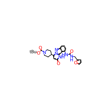 CC(C)(C)OC(=O)N1CCC(c2cc(=O)[nH]c3c4c(NC(=O)NCc5ccco5)cccc4nn23)CC1